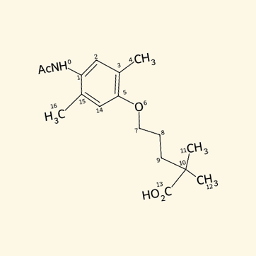 CC(=O)Nc1cc(C)c(OCCCC(C)(C)C(=O)O)cc1C